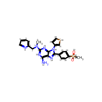 CN(Cc1ccccn1)c1nc(N)c2nc(-c3ccc(S(C)(=O)=O)cc3)n(-c3ccsc3)c2n1